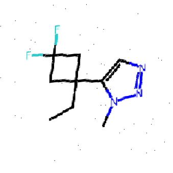 CCC1(c2cnnn2C)CC(F)(F)C1